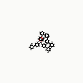 c1ccc(-c2ccc(N(c3ccc(-c4ccccc4)cc3)c3ccc(-c4cccc5c4-c4c(-c6ccc7c(c6)c6ccccc6n7-c6ccccc6)cccc4-5)cc3)cc2)cc1